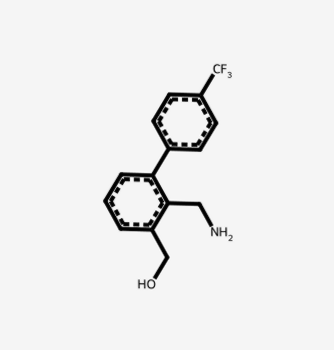 NCc1c(CO)cccc1-c1ccc(C(F)(F)F)cc1